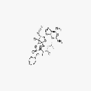 CC(C)OC(=O)[C@@H](C)NP(=O)(Oc1ccccc1)OC1[C@H]2O[C@@H](n3cnc4c(N)nc(N)nc43)C(N=[N+]=[N-])[C@@]12O